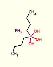 CCCCP(O)(O)(O)CCCC.P